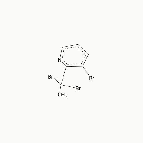 CC(Br)(Br)c1ncccc1Br